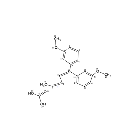 C/C=C\C=C(c1cccc(OC)c1)c1cccc(OC)c1.O=C(O)O